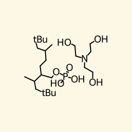 CC(CCC(COP(=O)(O)O)C(C)CC(C)(C)C)CC(C)(C)C.OCCN(CCO)CCO